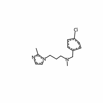 Cc1nccn1CCCN(C)Cc1ccc(Cl)cc1